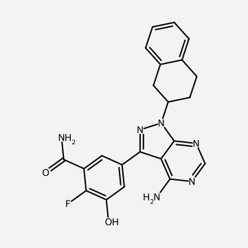 NC(=O)c1cc(-c2nn(C3CCc4ccccc4C3)c3ncnc(N)c23)cc(O)c1F